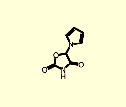 O=C1NC(=O)C(n2cccc2)O1